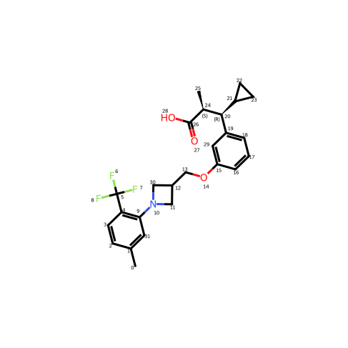 Cc1ccc(C(F)(F)F)c(N2CC(COc3cccc([C@H](C4CC4)[C@H](C)C(=O)O)c3)C2)c1